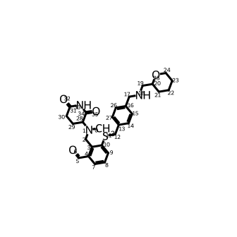 CN(Cc1c(C=O)cccc1SCc1ccc(CNCC2CCCCO2)cc1)C1CCC(=O)NC1=O